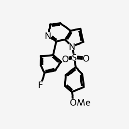 COc1ccc(S(=O)(=O)n2ccc3ccnc(-c4ccc(F)cc4)c32)cc1